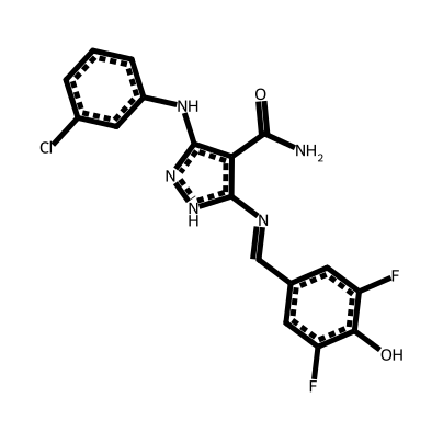 NC(=O)c1c(Nc2cccc(Cl)c2)n[nH]c1N=Cc1cc(F)c(O)c(F)c1